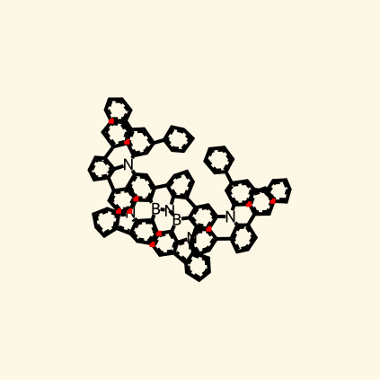 c1ccc(-c2cc(-c3ccccc3)cc(N(c3cc4c5c(c3)-n3c6ccccc6c6cccc(c63)B5N3B5c6c(cc(N(c7cc(-c8ccccc8)cc(-c8ccccc8)c7)c7c(-c8ccccc8)cccc7-c7ccccc7)cc6-n6c7ccccc7c7cccc5c76)-c5cccc-4c53)c3c(-c4ccccc4)cccc3-c3ccccc3)c2)cc1